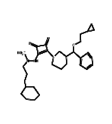 O=C(O)N(CCCC1CCCCC1)Nc1c(N2CCCC(C(OCCC3CC3)c3ccccc3)C2)c(=O)c1=O